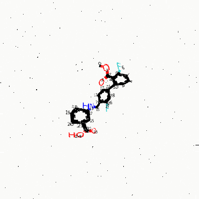 COC(=O)c1c(F)cccc1-c1ccc(CNc2cccc(C(=O)O)c2)c(F)c1